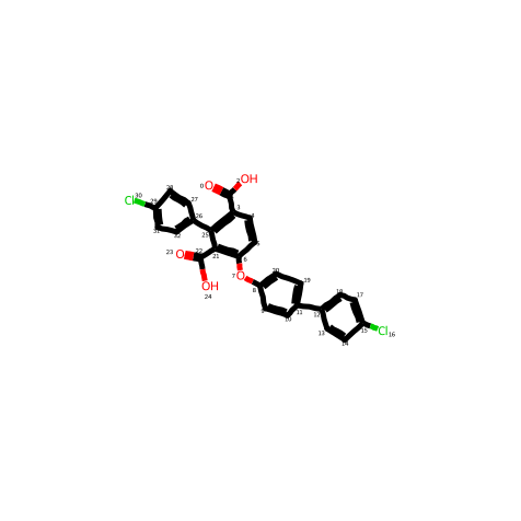 O=C(O)c1ccc(Oc2ccc(-c3ccc(Cl)cc3)cc2)c(C(=O)O)c1-c1ccc(Cl)cc1